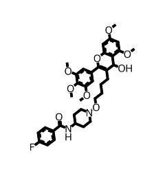 COc1cc(OC)c2c(c1)OC(c1cc(OC)c(OC)c(OC)c1)=C(CCCCON1CCC(NC(=O)c3ccc(F)cc3)CC1)C2O